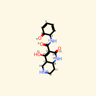 O=C(NC1C=CC=CC1=O)C1=C(O)C2CNCCC2NC1=O